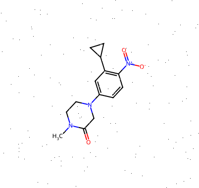 CN1CCN(c2ccc([N+](=O)[O-])c(C3CC3)c2)CC1=O